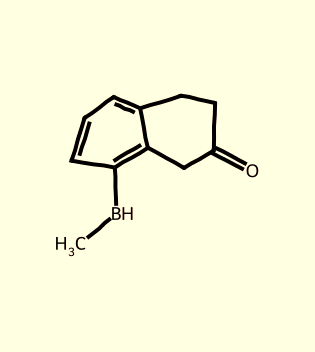 CBc1cccc2c1CC(=O)CC2